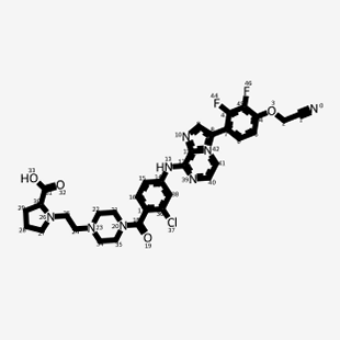 N#CCOc1ccc(-c2cnc3c(Nc4ccc(C(=O)N5CCN(CCN6CCCC6C(=O)O)CC5)c(Cl)c4)nccn23)c(F)c1F